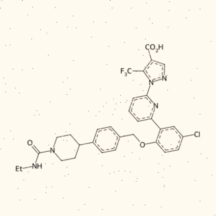 CCNC(=O)N1CCC(c2ccc(COc3ccc(Cl)cc3-c3cccc(-n4ncc(C(=O)O)c4C(F)(F)F)n3)cc2)CC1